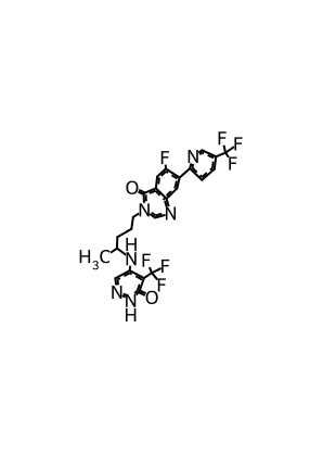 CC(CCCn1cnc2cc(-c3ccc(C(F)(F)F)cn3)c(F)cc2c1=O)Nc1cn[nH]c(=O)c1C(F)(F)F